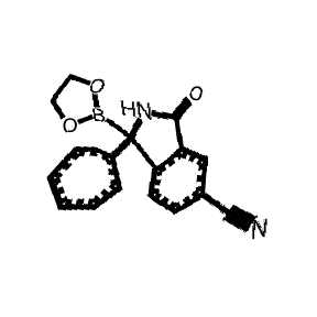 N#Cc1ccc2c(c1)C(=O)NC2(B1OCCO1)c1ccccc1